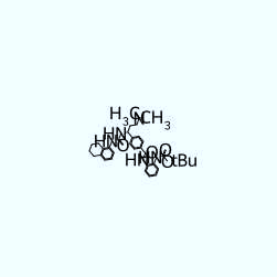 CN(C)CCC(NC(=O)Nc1cccc2c1CCCC2)c1ccc(C(=O)Nc2ccccc2NC(=O)OC(C)(C)C)cc1